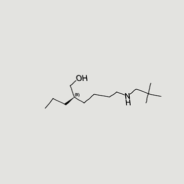 CCC[C@@H](CO)CCCCNCC(C)(C)C